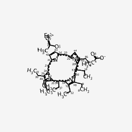 CC(=O)[O-].CC(=O)[O-].CCC1=C(CC)c2nc1c(CC)c1[nH]c(cc3nc(cc4c(CC)c(CC)c(c2CC)n4CC)C=C3)cc1CC.[Fe+2]